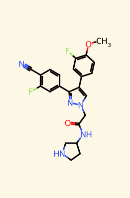 COc1ccc(-c2cn(CC(=O)NC3CCNC3)nc2-c2ccc(C#N)c(F)c2)cc1F